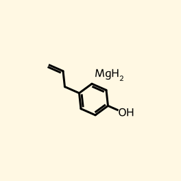 C=CCc1ccc(O)cc1.[MgH2]